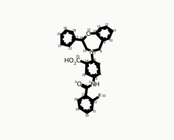 O=C(Nc1ccc(N2Cc3ccccc3OC(c3ccccc3)C2)c(C(=O)O)c1)c1ccccc1F